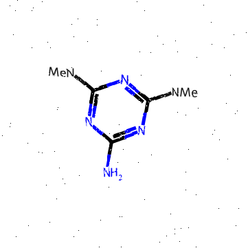 CNc1nc(N)nc(NC)n1